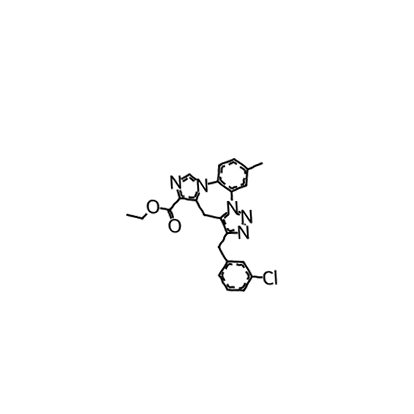 CCOC(=O)c1ncn2c1Cc1c(Cc3cccc(Cl)c3)nnn1-c1cc(C)ccc1-2